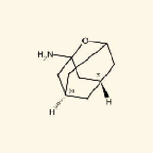 NC12C[C@@H]3CC(C[C@@H](C3)C1)O2